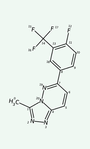 Cc1nnc2ccc(-c3ccc(F)c(C(F)(F)F)c3)nn12